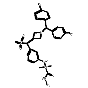 C[N+](C)(Nc1cccc(C(=C2CN(C(c3ccc(Cl)cc3)c3ccc(Cl)cc3)C2)S(C)(=O)=O)c1)C(=O)NN